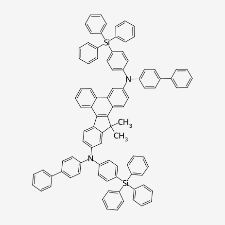 CC1(C)c2cc(N(c3ccc(-c4ccccc4)cc3)c3ccc([Si](c4ccccc4)(c4ccccc4)c4ccccc4)cc3)ccc2-c2c1c1ccc(N(c3ccc(-c4ccccc4)cc3)c3ccc([Si](c4ccccc4)(c4ccccc4)c4ccccc4)cc3)cc1c1ccccc21